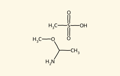 COC(C)N.CS(=O)(=O)O